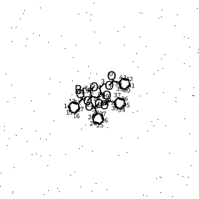 O=C(OCC1O[C@H](Br)C(OC(=O)c2ccccc2)C(OC(=O)c2ccccc2)[C@@H]1OC(=O)c1ccccc1)c1ccccc1